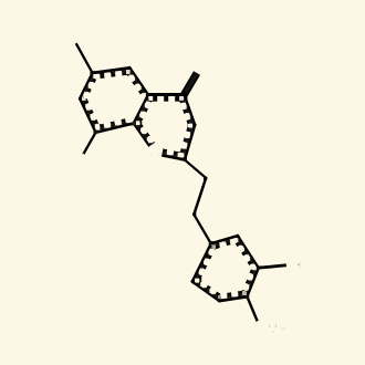 COc1ccc(CCc2cc(=O)c3cc(O)cc(O)c3o2)cc1O